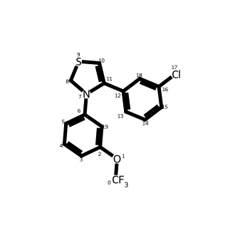 FC(F)(F)Oc1cccc(N2CSC=C2c2cccc(Cl)c2)c1